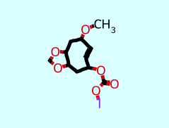 COC1/C=C/C(OC(=O)OI)CC2OCOC2C1